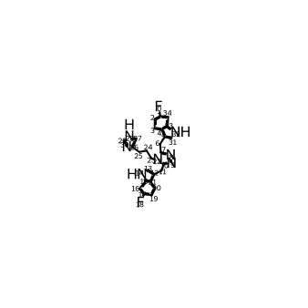 Fc1ccc2c(Cc3nnc(Cc4c[nH]c5cc(F)ccc45)n3CCCc3c[nH]cn3)c[nH]c2c1